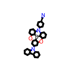 N#Cc1ccc(N2c3cccc4c3B3c5c(cc(-n6c7ccccc7c7ccccc76)cc5Oc5cccc2c53)O4)cc1